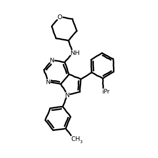 Cc1cccc(-n2cc(-c3ccccc3C(C)C)c3c(NC4CCOCC4)ncnc32)c1